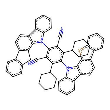 N#Cc1c(C2CCCCC2)c(-n2c3ccccc3c3ccc4c5ccccc5sc4c32)c(C2CCCCC2)c(C#N)c1-n1c2ccccc2c2ccc3c(c21)Cc1ccccc1-3